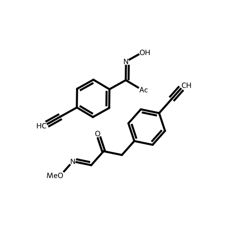 C#Cc1ccc(C(=NO)C(C)=O)cc1.C#Cc1ccc(CC(=O)C=NOC)cc1